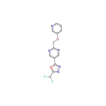 FC(F)c1nnc(-c2cnc(COc3cccnc3)nc2)o1